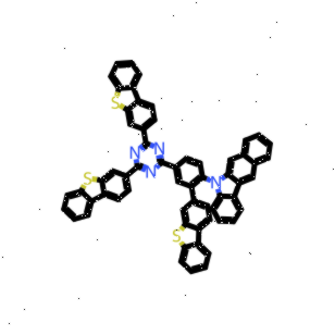 c1ccc2cc3c(cc2c1)c1ccccc1n3-c1ccc(-c2nc(-c3ccc4c(c3)sc3ccccc34)nc(-c3ccc4c(c3)sc3ccccc34)n2)cc1-c1ccc2c(c1)sc1ccccc12